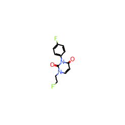 O=c1ccn(CCF)c(=O)n1-c1ccc(F)cc1